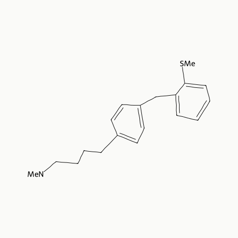 CNCCCCc1ccc(Cc2ccccc2SC)cc1